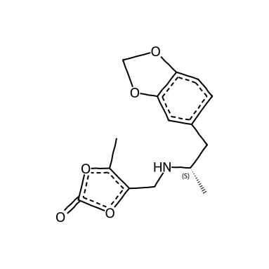 Cc1oc(=O)oc1CN[C@@H](C)Cc1ccc2c(c1)OCO2